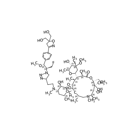 CC[C@H]1OC(=O)[C@H](C)[C@@H](C2C[C@@](C)(OC)[C@@H](O)[C@H](C)O2)[C@H](C)[C@@H](O[C@@H]2O[C@H](C)C[C@H](N(C)CCC3CN([C@H](CF)[C@H](OC)c4ccc(C5=NOC(CO)(CO)C5)cc4)N=N3)[C@H]2O)[C@](C)(O)C[C@@H](C)CN(C)[C@H](C)[C@@H](O)[C@]1(C)O